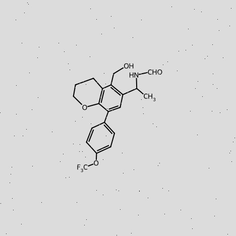 CC(NC=O)c1cc(-c2ccc(OC(F)(F)F)cc2)c2c(c1CO)CCCO2